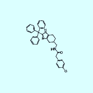 O=C(Cc1ccc(Cl)cc1)NCC1CCc2[nH]c(C(c3ccccc3)(c3ccccc3)c3ccccc3)nc2C1